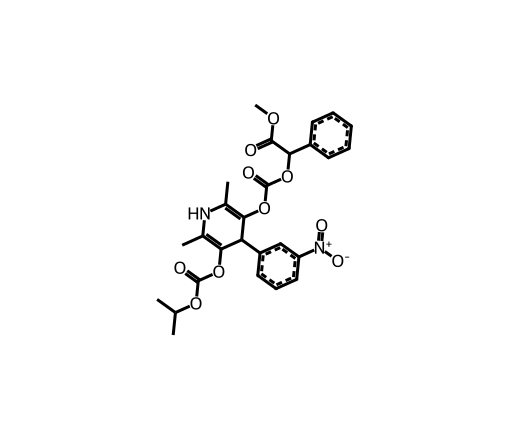 COC(=O)C(OC(=O)OC1=C(C)NC(C)=C(OC(=O)OC(C)C)C1c1cccc([N+](=O)[O-])c1)c1ccccc1